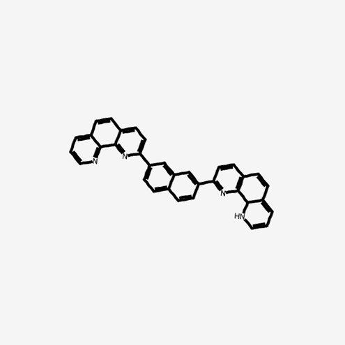 C1=CNC2C(=C1)C=Cc1ccc(-c3ccc4ccc(-c5ccc6ccc7cccnc7c6n5)cc4c3)nc12